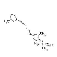 CCOC(=O)C(C)(C)Oc1ccc(OCCCC#Cc2cccc(C(F)(F)F)c2)cc1C